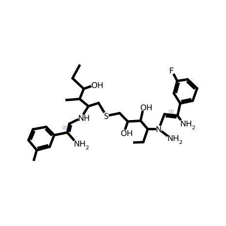 CCC(O)C(C)C(CSCC(O)C(O)C(CC)N(N)/C=C(\N)c1cccc(F)c1)N/C=C(\N)c1cccc(C)c1